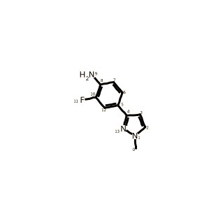 Cn1ccc(-c2ccc(N)c(F)c2)n1